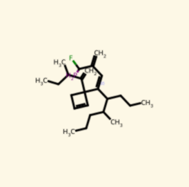 C=C(/C=C(/C(CCC)C(C)CCC)C1(C(=C)C(C)CC)C=CC1)C(F)P